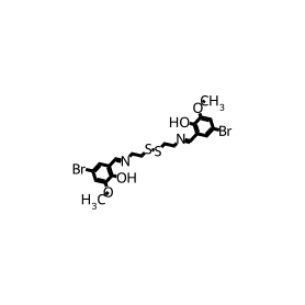 COc1cc(Br)cc(/C=N/CCSSCC/N=C/c2cc(Br)cc(OC)c2O)c1O